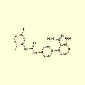 Cc1ccc(F)cc1NC(=O)Nc1ccc(-c2cccc3[nH]nc(N)c23)cc1